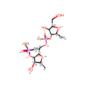 B[C@@H]1O[C@H](CO)C(O)[C@@H]1OP(=O)(S)OC[C@H]1O[C@@H](C)[C@@H](O)C1OP(=O)(S)OC